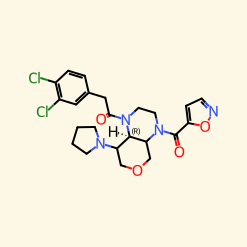 O=C(c1ccno1)N1CCN(C(=O)Cc2ccc(Cl)c(Cl)c2)[C@@H]2C(N3CCCC3)COCC21